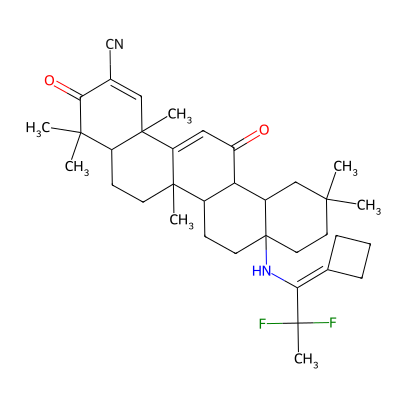 CC1(C)CCC2(NC(=C3CCC3)C(C)(F)F)CCC3C(C(=O)C=C4C5(C)C=C(C#N)C(=O)C(C)(C)C5CCC43C)C2C1